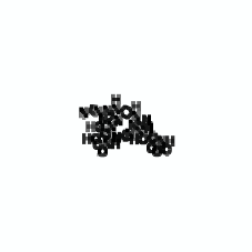 COC(=O)N[C@H]1C[C@@H](n2cnc3c(N[C@H]4CC[C@H](Nc5nc(N6CC[C@@H](N(C)C)C6)nc6c5ncn6[C@@H]5C[C@H](NC(=O)OC)[C@@H](O)[C@H]5O)CC4)nc(N4CC[C@@H](N(C)C)C4)nc32)[C@H](O)[C@@H]1O